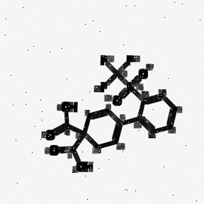 O=C(O)C1(C(=O)O)C=CC(c2ccccc2S(=O)(=O)C(F)(F)F)=CC1